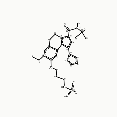 COc1cc2c(cc1OCCCOS(C)(=O)=O)-c1c(-c3cccs3)cc(C(=O)N(C)C(C)(C)C)n1CC2